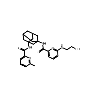 Cc1cccc(C(=O)NC23CC4CC(C2)CC(NC(=O)c2cccc(NCCO)n2)(C4)C3)n1